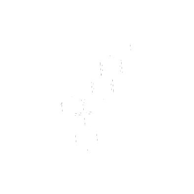 CC(C)(C)OC(=O)CN(c1ccc2cc(B(O)O)ccc2c1)S(=O)(=O)c1cc(Cl)cc(Cl)c1